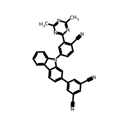 Cc1nc(C)nc(-c2cc(-n3c4ccccc4c4ccc(-c5cc(C#N)cc(C#N)c5)cc43)ccc2C#N)n1